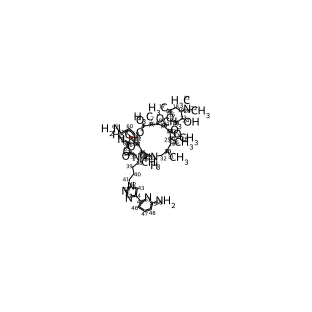 CC[C@H]1OC(=O)[C@H](C)C(=O)[C@@H](C)[C@@H](O[C@@H]2O[C@H](C)CC(N(C)C)C2O)[C@](C)(OC)C[C@@H](C)CN[C@H](C)[C@H]2N(CCCCn3cc(-c4cccc(N)n4)nn3)C(=O)O[C@]12n1ccc(N)nc1=O